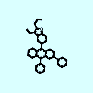 C=Cc1c(/C=C\C)oc2ccc(-c3c4ccccc4c(-c4ccccc4)c4cc(-c5ccccc5)ccc34)cc12